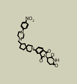 O=C1CCC(N2C(=O)c3ccc(N4CCC5(CCC(CN6CCN(c7ccc([N+](=O)[O-])cc7)CC6)C5)CC4)cc3C2=O)C(=O)N1